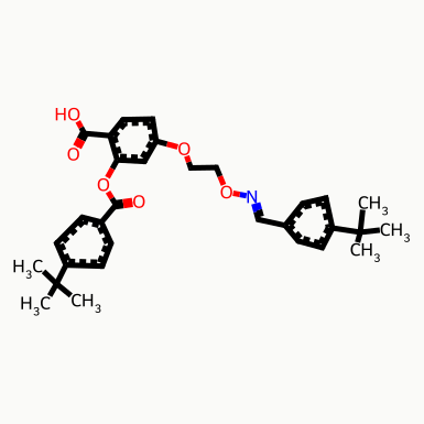 CC(C)(C)c1ccc(C=NOCCOc2ccc(C(=O)O)c(OC(=O)c3ccc(C(C)(C)C)cc3)c2)cc1